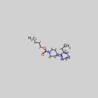 CCCCOC(=O)N1CCN(c2ncncc2CC)CC1